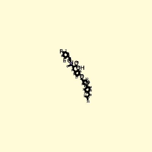 C/C(=N\OCc1ccc(F)cc1F)C(Cc1ccc(OCc2cnn(-c3ccc(CC(C)C)cc3)c2)cc1)C(=O)O